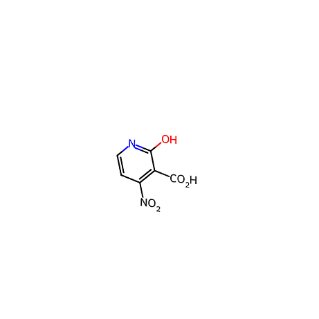 O=C(O)c1c([N+](=O)[O-])ccnc1O